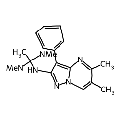 CNC(C)(NC)Nc1nn2cc(C)c(C)nc2c1-c1ccccc1